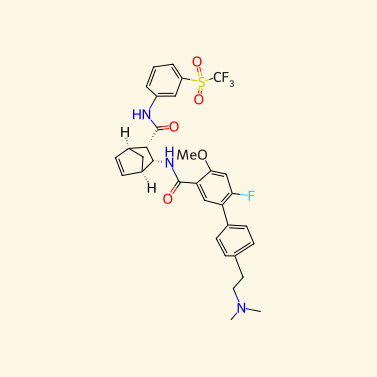 COc1cc(F)c(-c2ccc(CCN(C)C)cc2)cc1C(=O)N[C@H]1[C@@H](C(=O)Nc2cccc(S(=O)(=O)C(F)(F)F)c2)[C@@H]2C=C[C@H]1C2